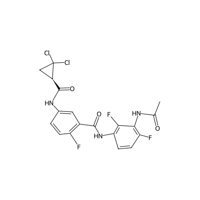 CC(=O)Nc1c(F)ccc(NC(=O)c2cc(NC(=O)[C@H]3CC3(Cl)Cl)ccc2F)c1F